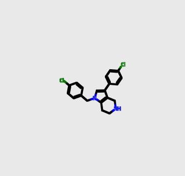 Clc1ccc(Cn2cc(-c3ccc(Cl)cc3)c3c2CCNC3)cc1